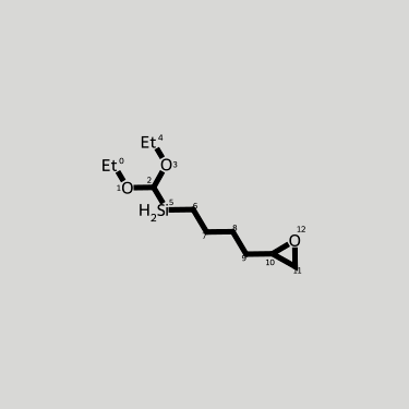 CCOC(OCC)[SiH2]CCCCC1CO1